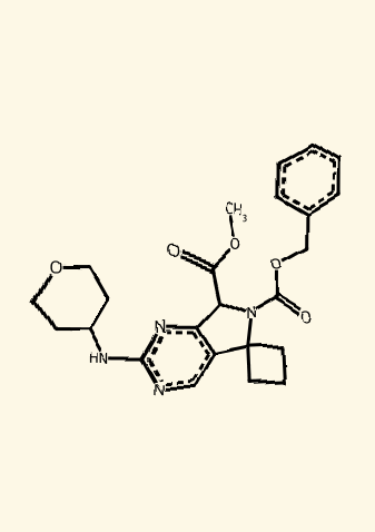 COC(=O)C1c2nc(NC3CCOCC3)ncc2C2(CCC2)N1C(=O)OCc1ccccc1